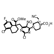 COC(=O)C1(Cc2nc(Cl)nc(N3CCN(C(=O)O)[C@@H](CC#N)C3)c2[N+](=O)[O-])CCCc2c(Cl)cc(F)cc21